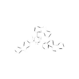 c1ccc(-c2nc(-c3ccc4c(c3)oc3ccccc34)nc(-c3cccc4oc5ccc(-c6ccc7ccc8ccccc8c7c6)cc5c34)n2)cc1